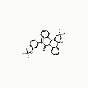 O=C(Nc1cccc(OC(F)(F)F)c1)C1c2ccccc2C(=O)N(CC(F)(F)F)C1c1cccnc1